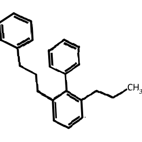 CCCc1[c]ccc(CCCc2ccccc2)c1-c1ccccc1